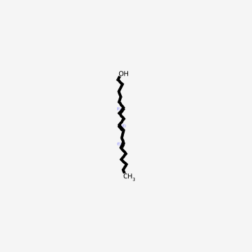 CCCCC/C=C/C/C=C/C/C=C/CCCCCO